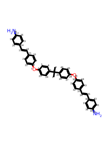 CC(C)(c1ccc(Oc2ccc(/C=C/c3ccc(N)cc3)cc2)cc1)c1ccc(Oc2ccc(/C=C/c3ccc(N)cc3)cc2)cc1